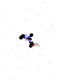 COc1ccc(CN2CCc3c(c(C(=O)NCc4cccc5ccccc45)nn3-c3ccccc3)C2)c2ccccc12